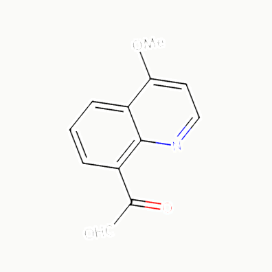 COc1ccnc2c(C(=O)C=O)cccc12